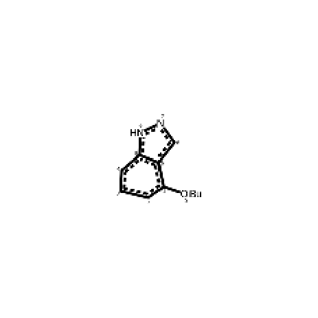 CC(C)COc1cccc2[nH]ncc12